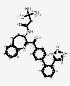 CC(C)(N)CC(=O)N[C@@H]1CCc2ccccc2N=C1C(=O)c1ccc(-c2ccccc2-c2nn[nH]n2)cc1